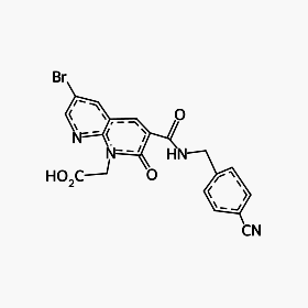 N#Cc1ccc(CNC(=O)c2cc3cc(Br)cnc3n(CC(=O)O)c2=O)cc1